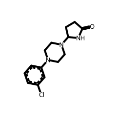 O=C1CCC(N2CCN(c3cccc(Cl)c3)CC2)N1